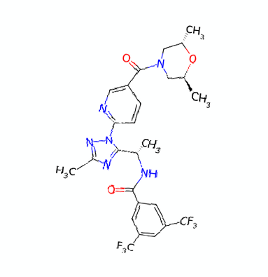 Cc1nc([C@H](C)NC(=O)c2cc(C(F)(F)F)cc(C(F)(F)F)c2)n(-c2ccc(C(=O)N3C[C@H](C)O[C@@H](C)C3)cn2)n1